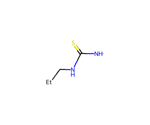 CCCNC([NH])=S